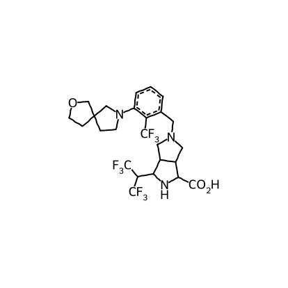 O=C(O)C1NC(C(C(F)(F)F)C(F)(F)F)C2CN(Cc3cccc(N4CCC5(CCOC5)C4)c3C(F)(F)F)CC12